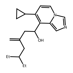 C=C(CC(CC)CC)CC(O)c1c(C2CC2)ccn2cncc12